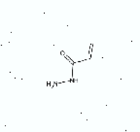 C=CC(=O)NN